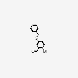 O=Cc1cc(SCc2ccccc2)ccc1Br